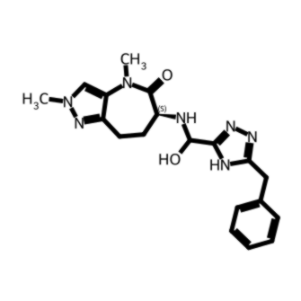 CN1C(=O)[C@@H](NC(O)c2nnc(Cc3ccccc3)[nH]2)CCc2nn(C)cc21